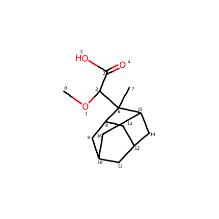 COC(C(=O)O)C1(C)C2CC3CC(C2)CC1C3